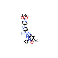 CC(=O)c1c(C)c2cnc(Nc3ccc(C4CCN(C(=O)OC(C)(C)C)CC4)nc3)nc2n(C2CCCC2)c1=O